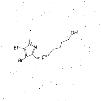 CCc1c(Br)c(C=C=CCCCCO)nn1C